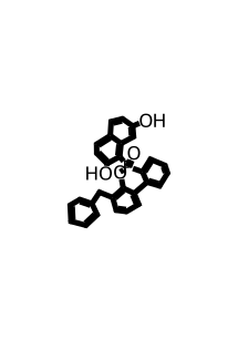 O=P1(c2c(O)ccc3ccc(O)cc23)Oc2c(Cc3ccccc3)cccc2-c2ccccc21